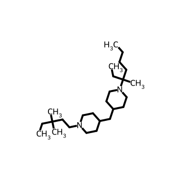 CCCCC(C)(CC)N1CCC(CC2CCN(CCC(C)(C)CC)CC2)CC1